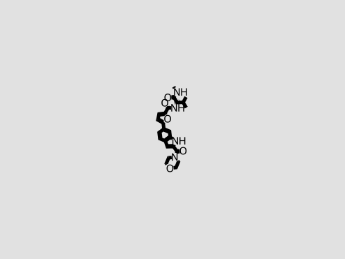 CNC(=O)[C@@H](NC(=O)c1ccc(-c2ccc3cc(C(=O)N4CCOCC4)[nH]c3c2)o1)C(C)C